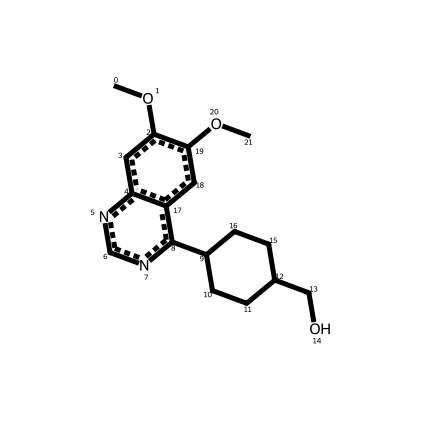 COc1cc2ncnc(C3CCC(CO)CC3)c2cc1OC